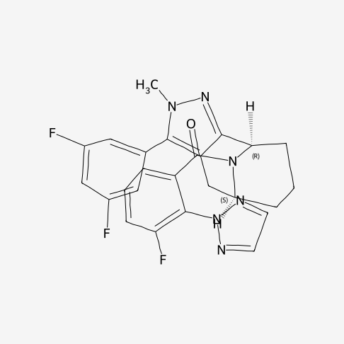 Cn1nc2c(c1-c1cc(F)cc(F)c1)C[C@@H]1CCC[C@H]2N1C(=O)c1cccc(F)c1-n1nccn1